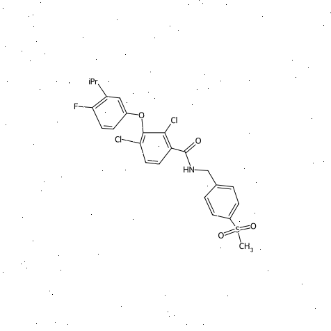 CC(C)c1cc(Oc2c(Cl)ccc(C(=O)NCc3ccc(S(C)(=O)=O)cc3)c2Cl)ccc1F